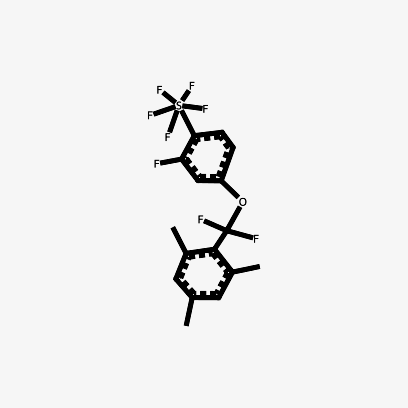 Cc1cc(C)c(C(F)(F)Oc2ccc(S(F)(F)(F)(F)F)c(F)c2)c(C)c1